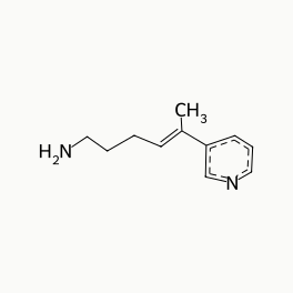 CC(=CCCCN)c1cccnc1